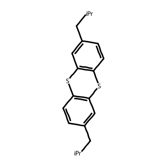 CC(C)Cc1ccc2c(c1)Sc1ccc(CC(C)C)cc1S2